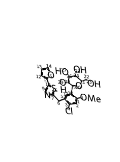 COc1cc(Cl)c(Cc2ncc(-c3ccco3)s2)cc1[C@@H]1O[C@H](CO)[C@@H](O)[C@H](O)[C@H]1O